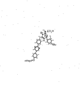 CCCCCCCOc1ccc(-c2cnc(-c3ccc(C[C@H](NC(=O)c4ccc(C(C)(C)C)cc4C)C(=O)N[C@H](C)C(=O)O)cc3)nc2)cc1